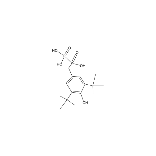 CC(C)(C)c1cc(CP(=O)(O)P(=O)(O)O)cc(C(C)(C)C)c1O